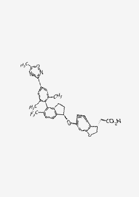 Cc1nc(-c2cc(C)c(-c3c(C(F)(F)F)ccc4c3CC[C@H]4Oc3ccc4c(c3)OC[C@H]4CC(=O)O)c(C)c2)no1